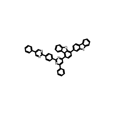 c1ccc(-c2cnc(-c3ccc(-c4nc(-c5ccccc5)cc(-c5ccc(-c6ccc7c(c6)sc6ccccc67)c6oc7ccccc7c56)n4)cc3)nc2)cc1